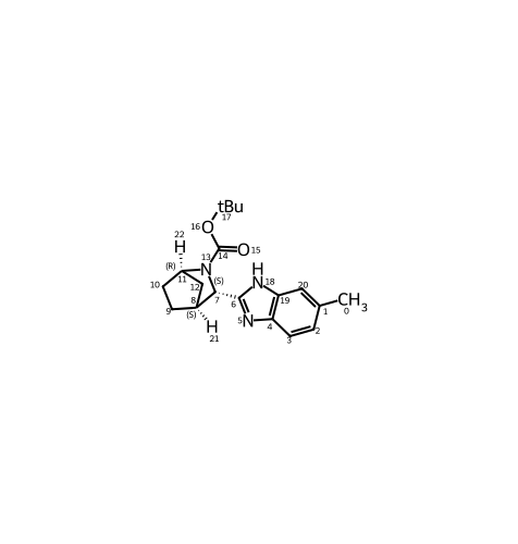 Cc1ccc2nc([C@@H]3[C@H]4CC[C@H](C4)N3C(=O)OC(C)(C)C)[nH]c2c1